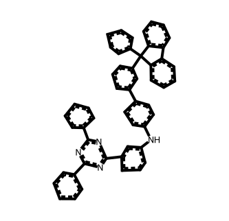 c1ccc(-c2nc(-c3ccccc3)nc(-c3cccc(Nc4ccc(-c5cccc(C6(c7ccccc7)c7ccccc7-c7ccccc76)c5)cc4)c3)n2)cc1